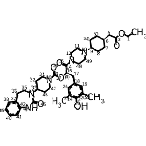 CCOC(=O)C[C@H]1CC[C@H](N2CCN(C(=O)[C@@H](Cc3cc(C)c(O)c(C)c3)OC(=O)N3CCC(N4CCc5ccccc5NC4=O)CC3)CC2)CC1